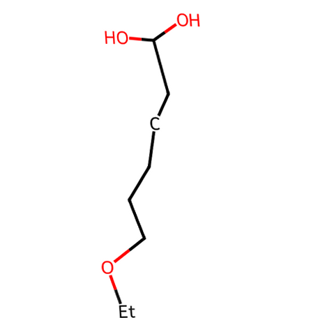 CCOCCCCCC(O)O